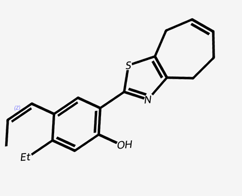 C/C=C\c1cc(-c2nc3c(s2)CC=CCC3)c(O)cc1CC